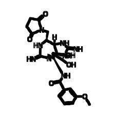 COc1cccc(C(=O)N[C@H]2CN3C(=N)N[C@@H](CN4C(=O)CCC4=O)[C@@H]4NC(=N)N[C@@]43C2(O)O)c1